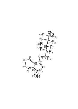 Oc1ccc(OC(F)C(F)(F)C(F)(F)C(F)(F)C(F)(F)C(F)(F)F)c2ccccc12